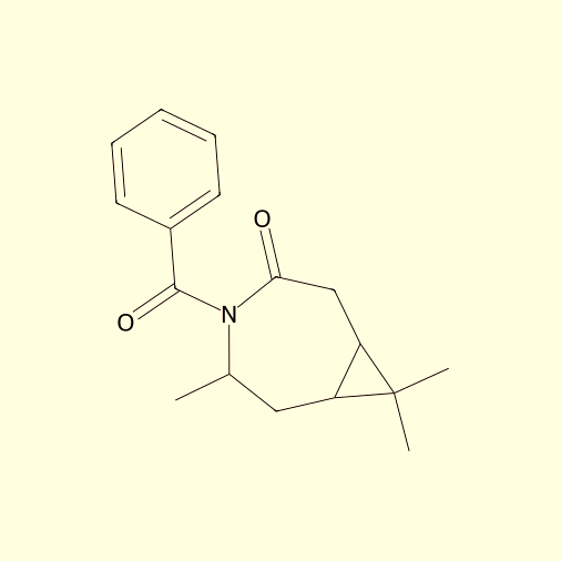 CC1CC2C(CC(=O)N1C(=O)c1ccccc1)C2(C)C